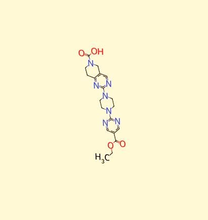 CCOC(=O)c1cnc(N2CCN(c3ncc4c(n3)CCN(C(=O)O)C4)CC2)nc1